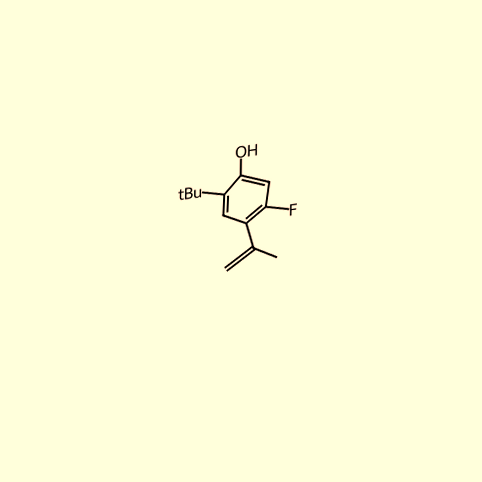 C=C(C)c1cc(C(C)(C)C)c(O)cc1F